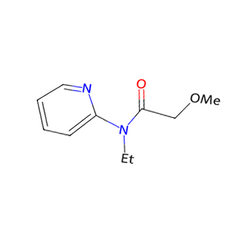 CCN(C(=O)COC)c1ccccn1